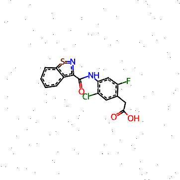 O=C(O)Cc1cc(Cl)c(NC(=O)c2nsc3ccccc23)cc1F